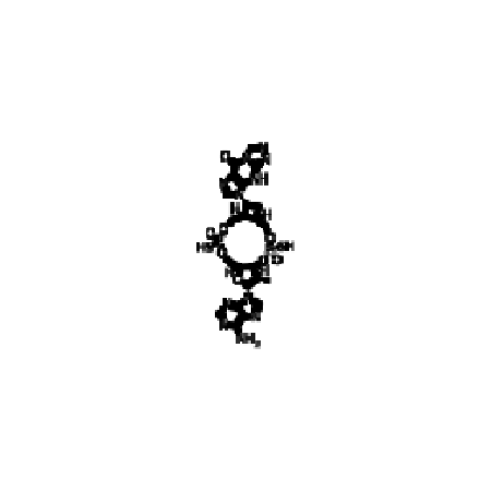 C[C@@H]1[C@@H]2O[P@](=O)(S)OC[C@H]3C[C@@H](n4cnc5c(=O)n6cnnc6[nH]c54)[C@@H]3CO[P@](=O)(S)OC[C@H]2O[C@H]1n1cnc2c(N)ncnc21